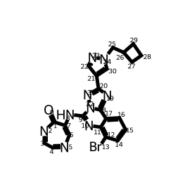 O=c1nccncc1Nc1nc2c(Br)cccc2c2nc(-c3cnn(CC4CCC4)c3)nn12